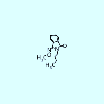 CCCCN1C(=O)c2ccccc2C1=NOC